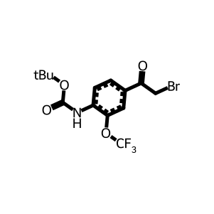 CC(C)(C)OC(=O)Nc1ccc(C(=O)CBr)cc1OC(F)(F)F